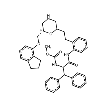 COC(=O)NC(C(=O)Nc1ccccc1CCC1CNC[C@@H](COc2cccc3c2CCC3)O1)C(c1ccccc1)c1ccccc1